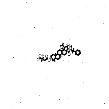 CC(C)C1=C2[C@H]3CCC4[C@@]5(C)CC[C@H](OC(=O)CC(C)(C)C(=O)O)C(C)(C)C5CC[C@@]4(C)[C@]3(C)CC[C@@]2(C(=O)NC(C)(C)c2ccccc2)CC1=O